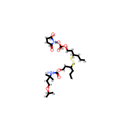 CCCC(CCOC(=O)NC(C)(C)CCOC(C)C)SSC(CCC)CCOC(=O)ON1C(=O)CCC1=O